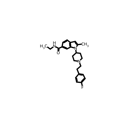 CCNC(=O)c1ccc2cc(C)n(C3CCN(CCc4ccc(F)cc4)CC3)c2c1